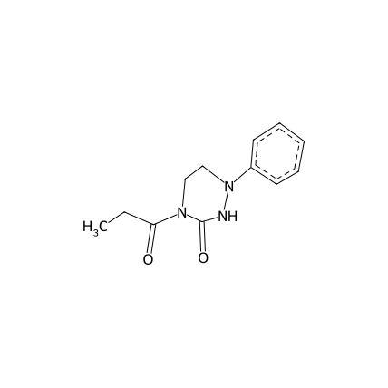 CCC(=O)N1CCN(c2ccccc2)NC1=O